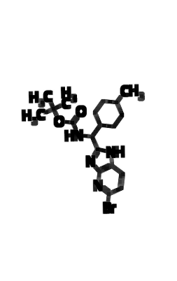 CC1CCC(C(NC(=O)OC(C)(C)C)c2nc3nc(Br)ccc3[nH]2)CC1